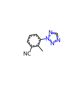 Cc1c(C#N)cccc1-n1ncnn1